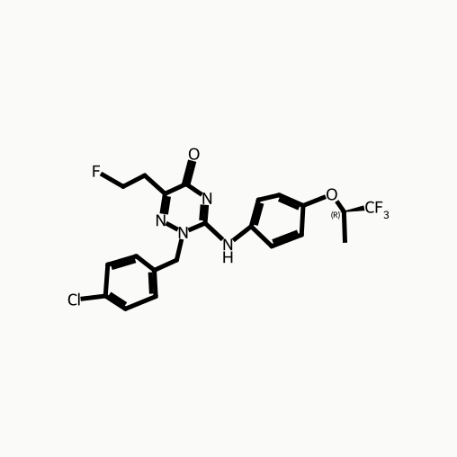 C[C@@H](Oc1ccc(Nc2nc(=O)c(CCF)nn2Cc2ccc(Cl)cc2)cc1)C(F)(F)F